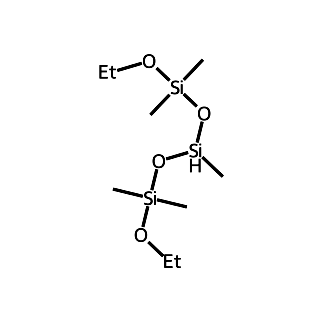 CCO[Si](C)(C)O[SiH](C)O[Si](C)(C)OCC